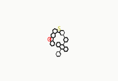 C1=CCCC(c2c3ccccc3c(-c3cccc(C4C=c5c(sc6ccc7cc8oc9ccccc9c8cc7c56)=CC4)c3)c3ccccc23)=C1